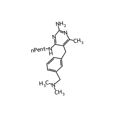 CCCCCNc1nc(N)nc(C)c1Cc1cccc(CN(C)C)c1